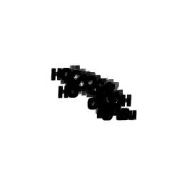 CC(C)C(NC(=O)OC(C)(C)C)C(=O)O[C@H]1C[C@@]2(C)C3C[C@H](O)[C@H]4C(C)(C)[C@@H](O)CC[C@@]45C[C@@]35CC[C@]2(C)[C@H]1[C@@]1(C)CC[C@@H](C(C)(C)O)O1